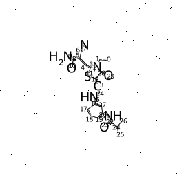 CCn1c(=C=C(C#N)C(N)=O)sc(=C=CNc2cccc(NC(=O)C(C)C)c2)c1=O